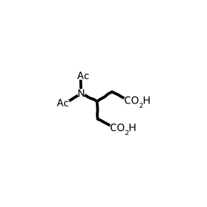 CC(=O)N(C(C)=O)C(CC(=O)O)CC(=O)O